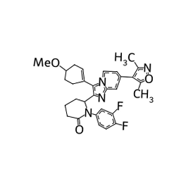 COC1CC=C(c2c(C3CCCC(=O)N3c3ccc(F)c(F)c3)nc3cc(-c4c(C)noc4C)ccn23)CC1